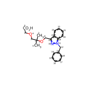 CC(C)(COCC(=O)O)OCc1nn(Cc2ccccc2)c2ccccc12